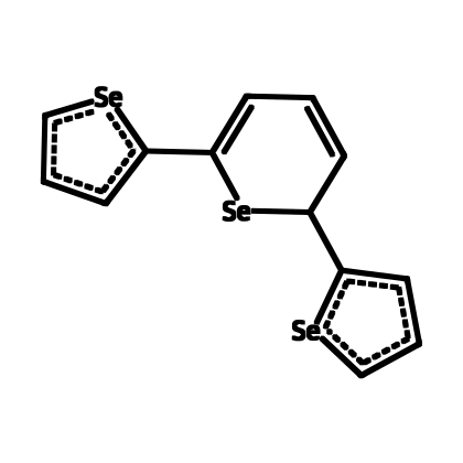 C1=CC(c2ccc[se]2)[Se]C(c2ccc[se]2)=C1